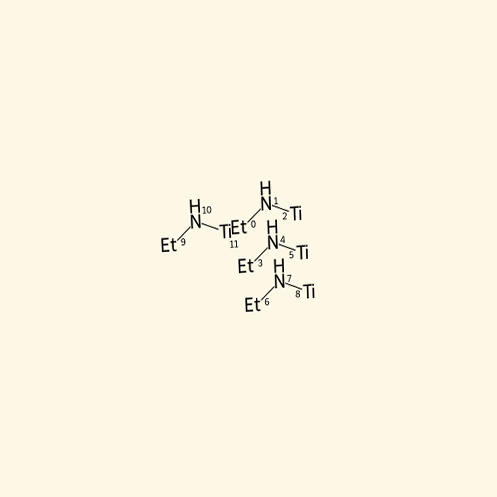 CC[NH][Ti].CC[NH][Ti].CC[NH][Ti].CC[NH][Ti]